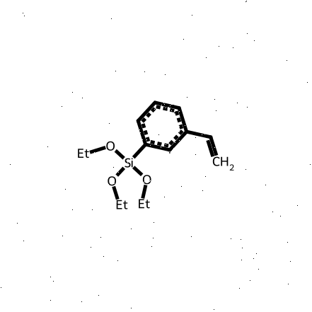 C=Cc1[c]c([Si](OCC)(OCC)OCC)ccc1